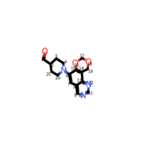 O=CC1CCN(c2cc3cncnc3c3c2OCOC3)CC1